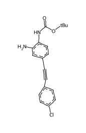 CC(C)(C)OC(=O)Nc1ccc(C#Cc2ccc(Cl)cc2)cc1N